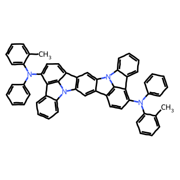 Cc1ccccc1N(c1ccccc1)c1ccc2c3cc4c(cc3n3c5ccccc5c1c23)c1ccc(N(c2ccccc2)c2ccccc2C)c2c3ccccc3n4c12